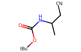 CC(CC#N)NC(=O)OC(C)(C)C